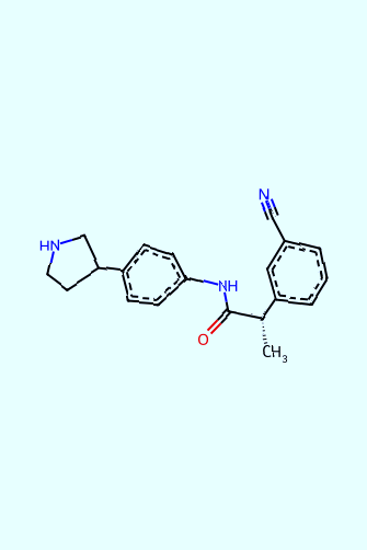 C[C@H](C(=O)Nc1ccc(C2CCNC2)cc1)c1cccc(C#N)c1